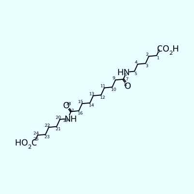 O=C(O)CCCCCNC(=O)CCCCCCCCC(=O)NCCCCCC(=O)O